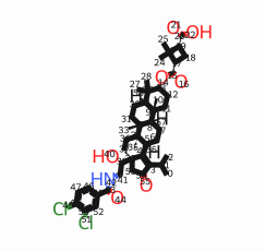 CC(C)C1=C2[C@H]3CC[C@@H]4[C@@]5(C)CC[C@H](OC(=O)[C@H]6C[C@@H](C(=O)O)C6(C)C)C(C)(C)[C@@H]5CC[C@@]4(C)[C@]3(C)CC[C@@]2([C@@H](O)CNC(=O)c2ccc(Cl)c(Cl)c2)CC1=O